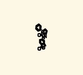 O=C1OCc2cc(-n3nc4n(c3=O)[C@H](c3ccccc3)CC4)ccc21